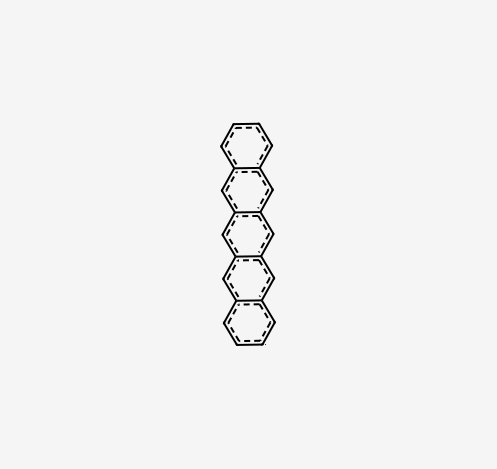 [c]1ccc2cc3cc4cc5ccccc5cc4cc3cc2c1